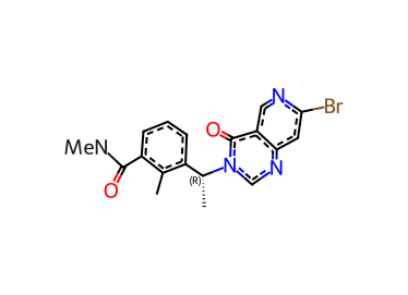 CNC(=O)c1cccc([C@@H](C)n2cnc3cc(Br)ncc3c2=O)c1C